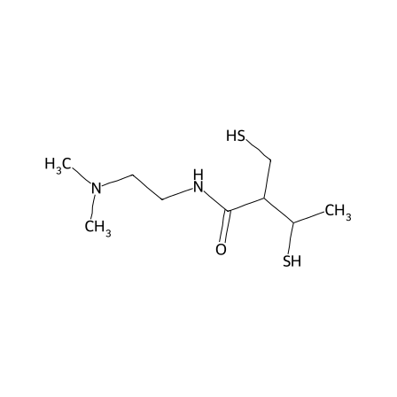 CC(S)C(CS)C(=O)NCCN(C)C